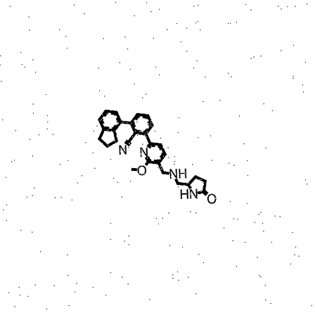 COc1nc(-c2cccc(-c3cccc4c3CCC4)c2C#N)ccc1CNCC1CCC(=O)N1